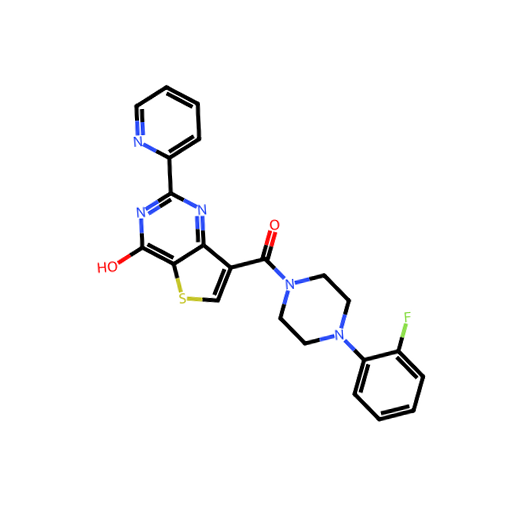 O=C(c1csc2c(O)nc(-c3ccccn3)nc12)N1CCN(c2ccccc2F)CC1